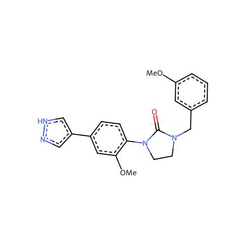 COc1cccc(CN2CCN(c3ccc(-c4cn[nH]c4)cc3OC)C2=O)c1